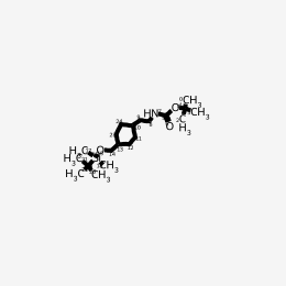 CC(C)(C)OC(=O)NCCC1CCC(CO[Si](C)(C)C(C)(C)C)CC1